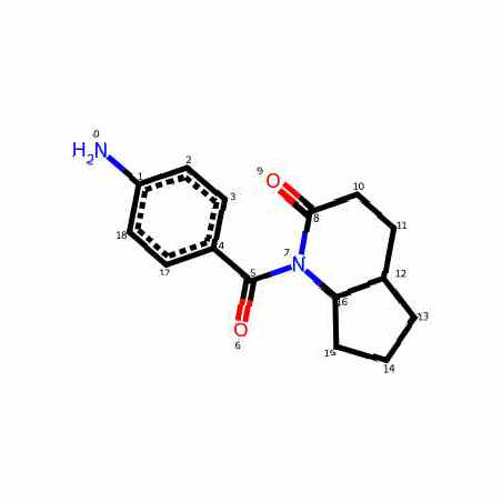 Nc1ccc(C(=O)N2C(=O)CCC3CCCC32)cc1